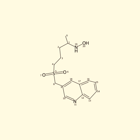 CC(CCCS(=O)(=O)Cc1cnc2ccccc2c1)NO